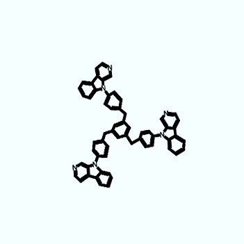 c1ccc2c(c1)c1ccncc1n2-c1ccc(Cc2cc(Cc3ccc(-n4c5ccccc5c5ccncc54)cc3)cc(Cc3ccc(-n4c5ccccc5c5ccncc54)cc3)c2)cc1